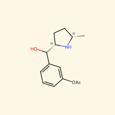 CC(=O)Oc1cccc(C(O)[C@@H]2CC[C@H](C)N2)c1